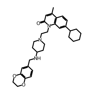 Cc1cc(=O)n(CCN2CCC(NCc3ccc4c(c3)OCCO4)CC2)c2cc(C3CCCCC3)ccc12